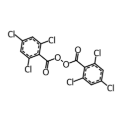 O=C(OOC(=O)c1c(Cl)cc(Cl)cc1Cl)c1c(Cl)cc(Cl)cc1Cl